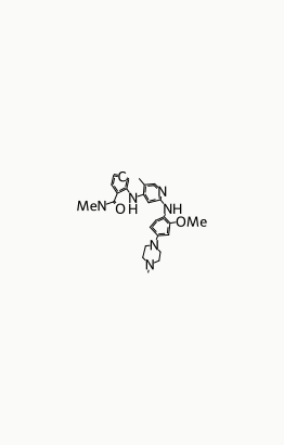 CNC(=O)c1ccccc1Nc1cc(Nc2ccc(N3CCN(C)CC3)cc2OC)ncc1C